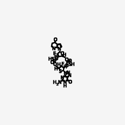 Nc1nc2c(nnn2[C@@H]2S[C@@H]3COP(=O)(S)O[C@H]4[C@H](F)[C@H](n5ccc6c5N=CCC6=O)O[C@@H]4COP(=O)(S)O[C@@H]2[C@@H]3F)c(=O)[nH]1